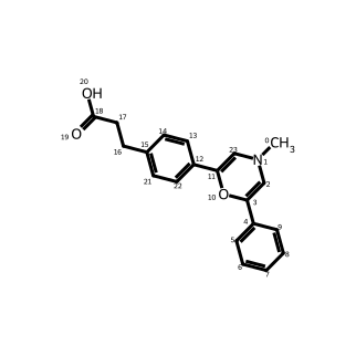 CN1C=C(c2ccccc2)OC(c2ccc(CCC(=O)O)cc2)=C1